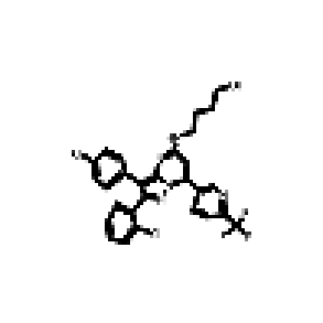 OCCCCNc1cc(-c2ccc(C(F)(F)F)nc2)n2nc(-c3ccccc3Cl)c(-c3ccc(Cl)cc3)c2n1